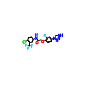 O=C(COc1ccc(N2CNN=N2)cc1F)Nc1ccc(Cl)c(C(F)(F)F)c1